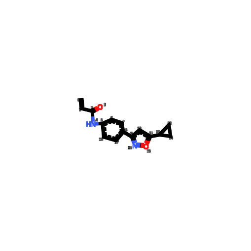 C=CC(=O)Nc1ccc(-c2cc(C3CC3)on2)cc1